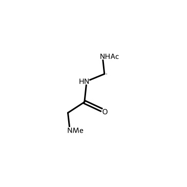 CNCC(=O)N[CH]NC(C)=O